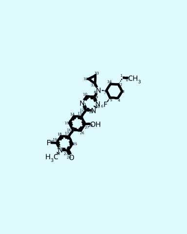 CC[C@@H]1CC[C@H](F)[C@H](N(c2cnc(-c3ccc(-c4cc(F)n(C)c(=O)c4)cc3O)nn2)C2CC2)C1